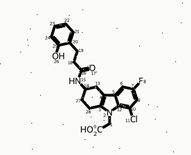 O=C(O)Cn1c2c(c3cc(F)cc(Cl)c31)CC(NC(=O)CCc1ccccc1O)CC2